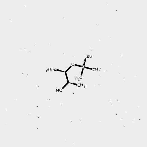 CCCCCC[C@@H](O[Si](C)(C)C(C)(C)C)[C@@H](C)O